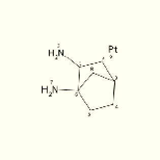 NC1CC2CCC1(N)C2.[Pt]